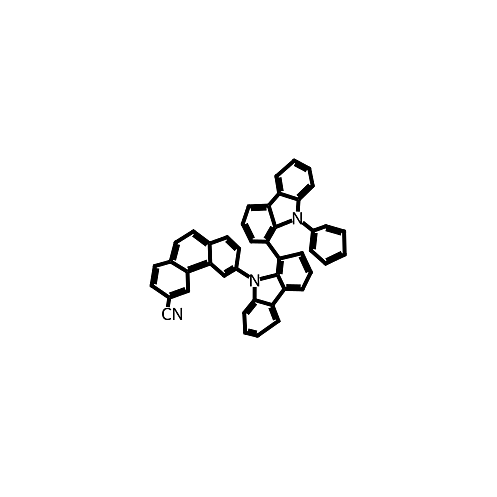 N#Cc1ccc2ccc3ccc(-n4c5ccccc5c5cccc(-c6cccc7c8ccccc8n(-c8ccccc8)c67)c54)cc3c2c1